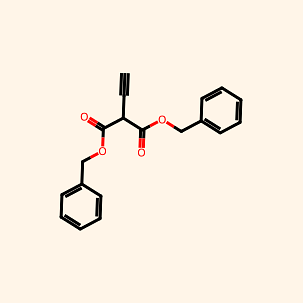 C#CC(C(=O)OCc1ccccc1)C(=O)OCc1ccccc1